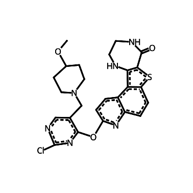 COC1CCN(Cc2cnc(Cl)nc2Oc2ccc3c(ccc4sc5c(c43)NCCNC5=O)n2)CC1